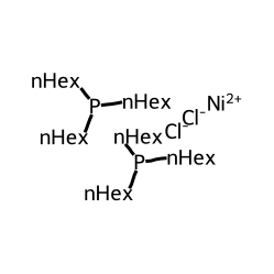 CCCCCCP(CCCCCC)CCCCCC.CCCCCCP(CCCCCC)CCCCCC.[Cl-].[Cl-].[Ni+2]